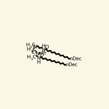 CCCCCCCCCCCCCCCCCCCCCC(=O)NC(C)N(CC)CCC.CCCCCCCCCCCCCCCCCCCCCC(=O)NCCCN(C)C